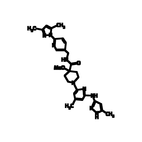 COC1(C(=O)NCc2ccc(-n3nc(C)cc3C)nc2)CCN(c2cc(C)cc(Nc3cc(C)[nH]n3)n2)CC1